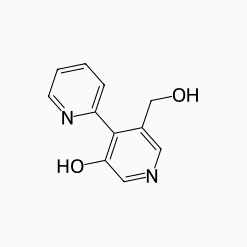 OCc1cncc(O)c1-c1ccccn1